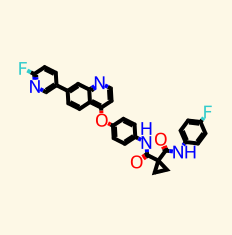 O=C(Nc1ccc(F)cc1)C1(C(=O)Nc2ccc(Oc3ccnc4cc(-c5ccc(F)nc5)ccc34)cc2)CC1